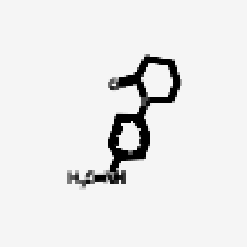 CNc1ccc(N2CCCCC2=O)cc1